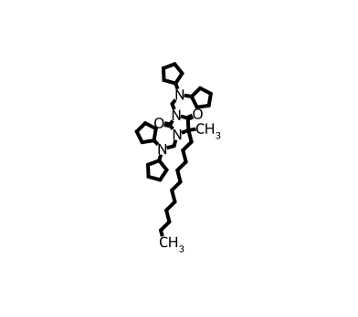 CCCCCCCCCCCC1(C)C(=O)N(CN(C2CCCC2)C2CCCC2)C(=O)N1CN(C1CCCC1)C1CCCC1